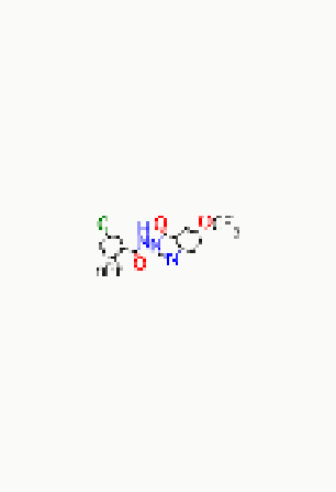 CCCc1ccc(Cl)cc1C(=O)Nn1cnc2ccc(OC(F)(F)F)cc2c1=O